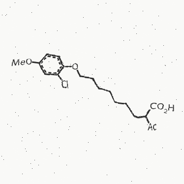 COc1ccc(OCCCCCCCC(C(C)=O)C(=O)O)c(Cl)c1